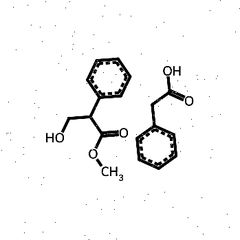 COC(=O)C(CO)c1ccccc1.O=C(O)Cc1ccccc1